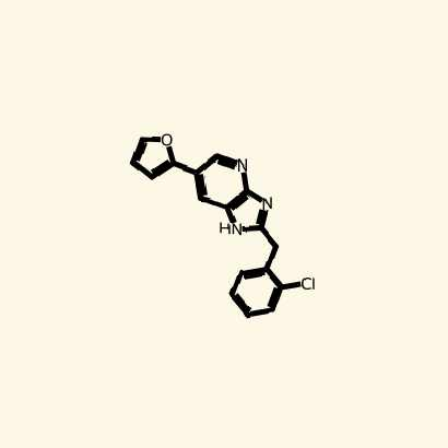 Clc1ccccc1Cc1nc2ncc(-c3ccco3)cc2[nH]1